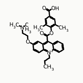 CCC[n+]1c2ccccc2c(C(=O)Oc2c(C)cc(C(=O)O)cc2C)c2cc(OCCN(C)C)ccc21